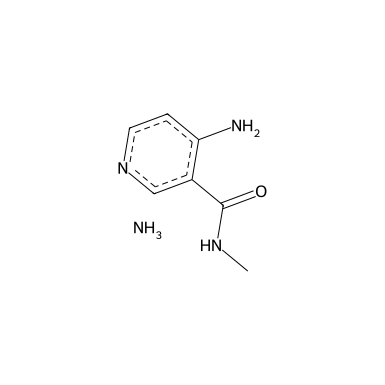 CNC(=O)c1cnccc1N.N